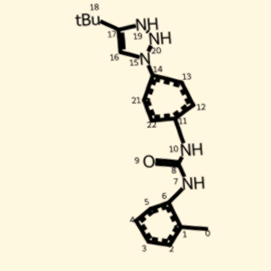 Cc1ccccc1NC(=O)Nc1ccc(N2C=C(C(C)(C)C)NN2)cc1